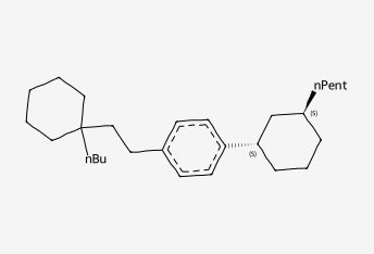 CCCCC[C@H]1CCC[C@H](c2ccc(CCC3(CCCC)CCCCC3)cc2)C1